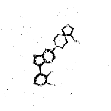 NC1COCC12CCN(c1cnc3c(-c4ccnc(O)c4Cl)n[nH]c3n1)CC2